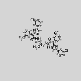 CN(CCNC(=O)N(c1cccc(C(F)(F)F)c1)c1nc(-c2cccc(Cl)c2)cs1)CCNC(=O)N(c1cccc(C(F)(F)F)c1)c1nc(-c2cccc(Cl)c2)cs1